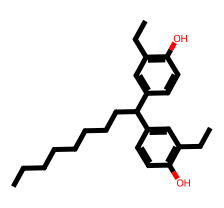 CCCCCCCCC(c1ccc(O)c(CC)c1)c1ccc(O)c(CC)c1